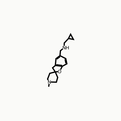 CN1CCC2(CC1)Cc1cc(CNCC3CC3)ccc1O2